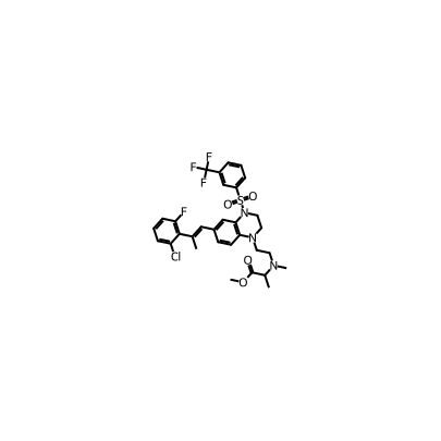 COC(=O)C(C)N(C)CCN1CCN(S(=O)(=O)c2cccc(C(F)(F)F)c2)c2cc(/C=C(\C)c3c(F)cccc3Cl)ccc21